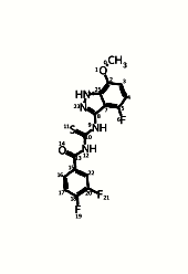 COc1ccc(F)c2c(NC(=S)NC(=O)c3ccc(F)c(F)c3)n[nH]c12